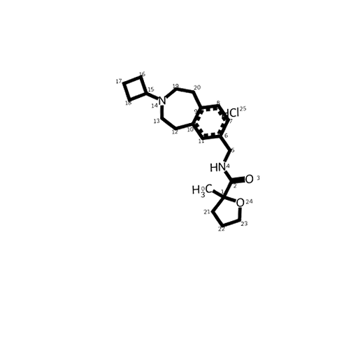 CC1(C(=O)NCc2ccc3c(c2)CCN(C2CCC2)CC3)CCCO1.Cl